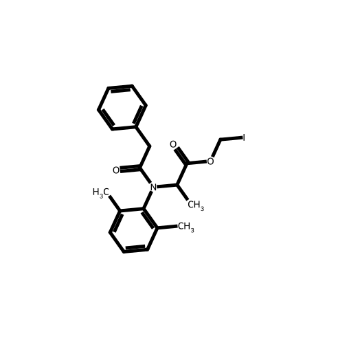 Cc1cccc(C)c1N(C(=O)Cc1ccccc1)C(C)C(=O)OCI